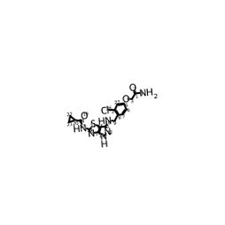 NC(=O)COc1ccc(CNc2n[nH]c3nc(NC(=O)C4CC4)sc23)c(Cl)c1